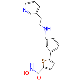 O=C(NO)c1ccc(-c2cccc(CNCCc3cccnc3)c2)s1